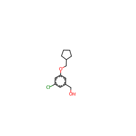 OCc1cc(Cl)cc(OCC2CCCC2)c1